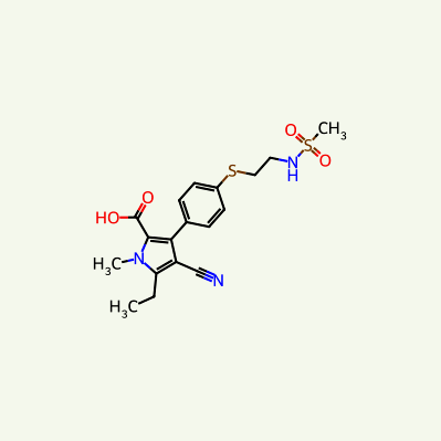 CCc1c(C#N)c(-c2ccc(SCCNS(C)(=O)=O)cc2)c(C(=O)O)n1C